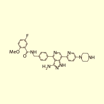 COc1ccc(F)cc1C(=O)NCc1ccc(-c2ncc(-c3ccc(N4CCNCC4)cn3)c3[nH]nc(N)c23)cc1